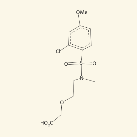 COc1ccc(S(=O)(=O)N(C)CCOCC(=O)O)c(Cl)c1